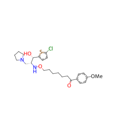 COc1ccc(C(=O)CCCCCCON[C@H](CN2CCCC2)[C@H](O)c2ccc(Cl)s2)cc1